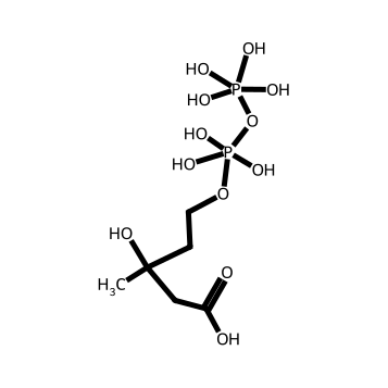 CC(O)(CCOP(O)(O)(O)OP(O)(O)(O)O)CC(=O)O